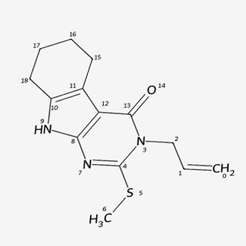 C=CCn1c(SC)nc2[nH]c3c(c2c1=O)CCCC3